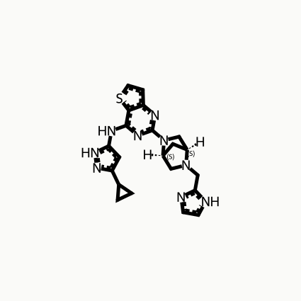 c1c[nH]c(CN2C[C@@H]3C[C@H]2CN3c2nc(Nc3cc(C4CC4)n[nH]3)c3sccc3n2)n1